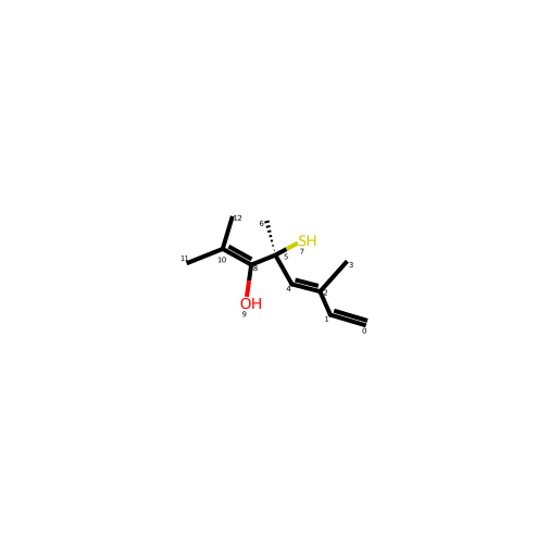 C=C/C(C)=C/[C@](C)(S)C(O)=C(C)C